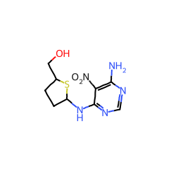 Nc1ncnc(NC2CCC(CO)S2)c1[N+](=O)[O-]